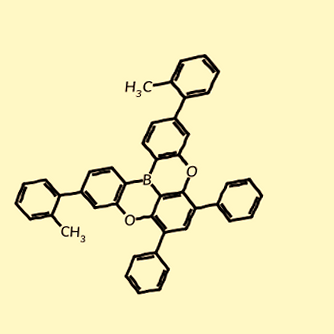 Cc1ccccc1-c1ccc2c(c1)Oc1c(-c3ccccc3)cc(-c3ccccc3)c3c1B2c1ccc(-c2ccccc2C)cc1O3